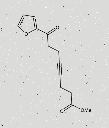 COC(=O)CCC#CCCC(=O)c1ccco1